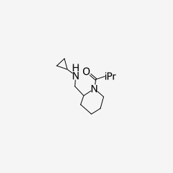 CC(C)C(=O)N1CCCCC1CNC1CC1